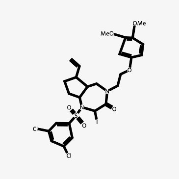 C=CC1CCC2C1CN(CCOc1ccc(OC)c(OC)c1)C(=O)C(I)N2S(=O)(=O)c1cc(Cl)cc(Cl)c1